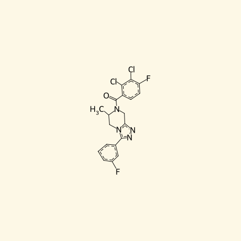 CC1Cn2c(nnc2-c2cccc(F)c2)CN1C(=O)c1ccc(F)c(Cl)c1Cl